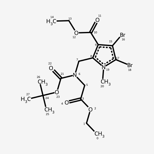 CCOC(=O)CN(Cc1c(C(=O)OCC)c(Br)c(Br)n1C)C(=O)OC(C)(C)C